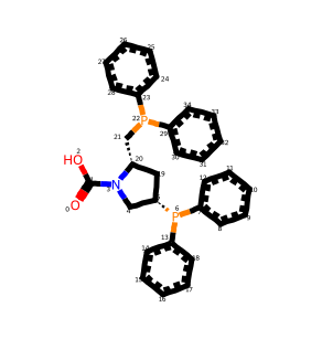 O=C(O)N1C[C@@H](P(c2ccccc2)c2ccccc2)C[C@H]1CP(c1ccccc1)c1ccccc1